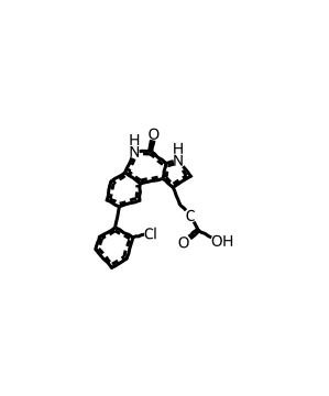 O=C(O)CCc1c[nH]c2c(=O)[nH]c3ccc(-c4ccccc4Cl)cc3c12